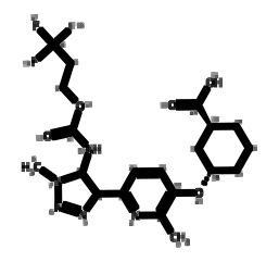 Cc1nc(C2N=NN(C)C2NC(=O)OCCC(F)(F)F)ccc1O[C@H]1CCC[C@H](C(=O)O)C1